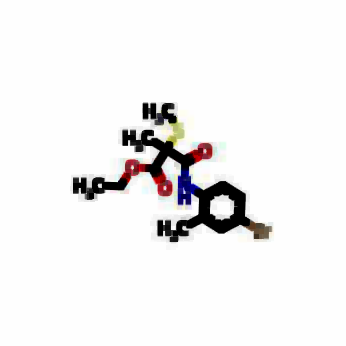 CCOC(=O)C(C)(SC)C(=O)Nc1ccc(Br)cc1C